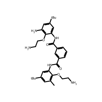 Cc1cc(C(C)(C)C)cc(NC(=O)c2cccc(C(=O)Nc3cc(C(C)(C)C)cc(N)c3OCCN)c2)c1OCCN